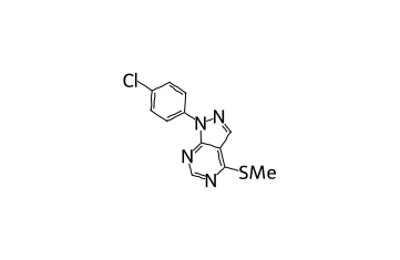 CSc1ncnc2c1cnn2-c1ccc(Cl)cc1